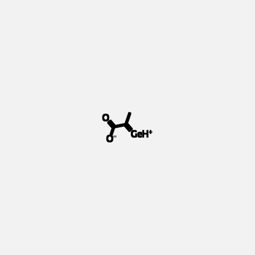 C[C](=[GeH+])C(=O)[O-]